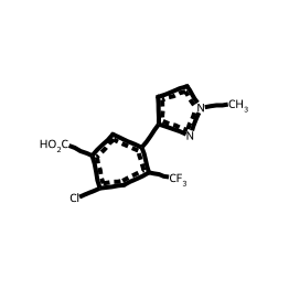 Cn1ccc(-c2cc(C(=O)O)c(Cl)cc2C(F)(F)F)n1